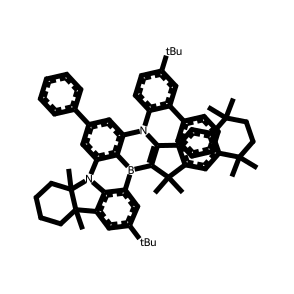 CC(C)(C)c1ccc(N2C3=C(B4c5cc(C(C)(C)C)cc6c5N(c5cc(-c7ccccc7)cc2c54)C2(C)CCCCC62C)C(C)(C)c2cc4c(cc23)C(C)(C)CCC4(C)C)c(-c2ccccc2)c1